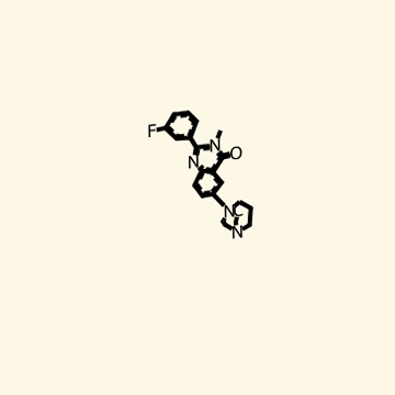 Cn1c(-c2cccc(F)c2)nc2ccc(N3CCN4CCC3CC4)cc2c1=O